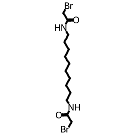 O=C(CBr)NCCCCCCCCCCNC(=O)CBr